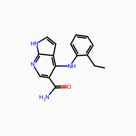 CCc1ccccc1Nc1c(C(N)=O)cnc2[nH]ccc12